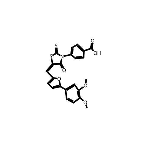 COc1ccc(-c2ccc(C=C3SC(=S)N(c4ccc(C(=O)O)cc4)C3=O)o2)cc1OC